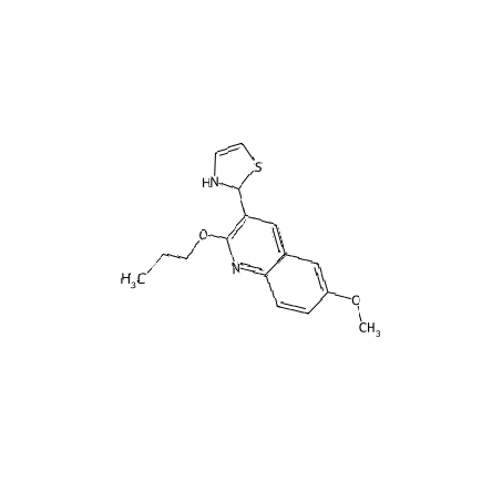 CCCOc1nc2ccc(OC)cc2cc1C1NC=CS1